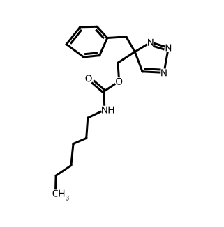 CCCCCCNC(=O)OCC1(Cc2ccccc2)C=NN=N1